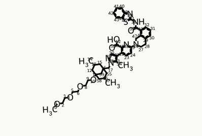 COCCOCCOCCOC12CC(C)CC(Cn3ncc(-c4ccc(N5CCc6cccc(C(=O)Nc7nc8ccccc8s7)c6C5)nc4C(=O)O)c3C)(CC(C)C1)C2